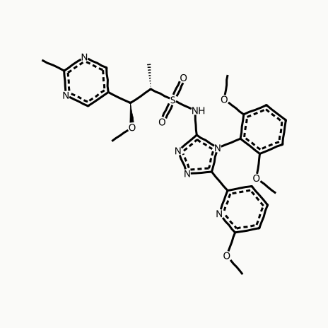 COc1cccc(-c2nnc(NS(=O)(=O)[C@@H](C)[C@@H](OC)c3cnc(C)nc3)n2-c2c(OC)cccc2OC)n1